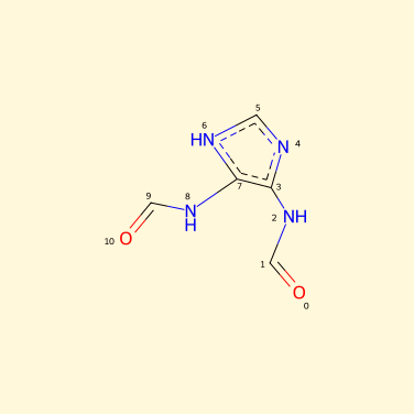 O=CNc1nc[nH]c1NC=O